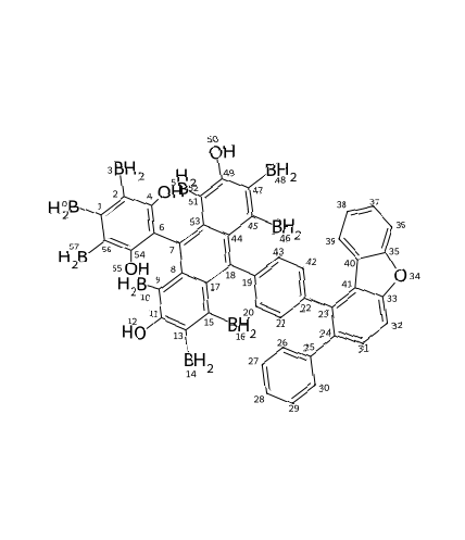 Bc1c(B)c(O)c(-c2c3c(B)c(O)c(B)c(B)c3c(-c3ccc(-c4c(-c5ccccc5)ccc5oc6ccccc6c45)cc3)c3c(B)c(B)c(O)c(B)c23)c(O)c1B